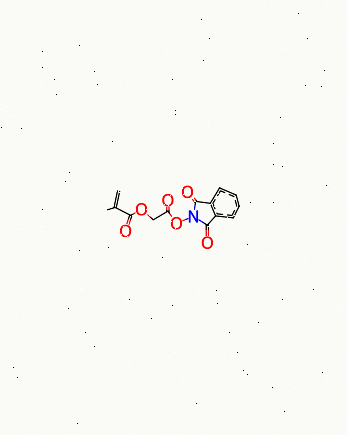 C=C(C)C(=O)OCC(=O)ON1C(=O)c2ccccc2C1=O